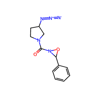 [N-]=[N+]=NC1CCN(C(=O)N2OC2c2ccccc2)C1